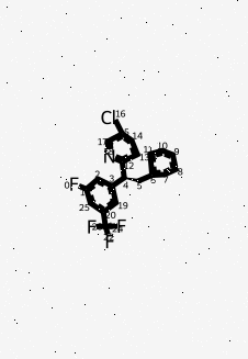 Fc1cc([C@H](Cc2ccccc2)c2ccc(Cl)cn2)cc(C(F)(F)F)c1